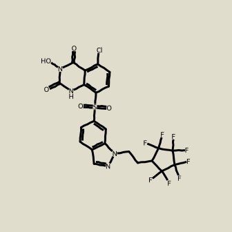 O=c1[nH]c2c(S(=O)(=O)c3ccc4cnn(CCC5C(F)(F)C(F)(F)C(F)(F)C5(F)F)c4c3)ccc(Cl)c2c(=O)n1O